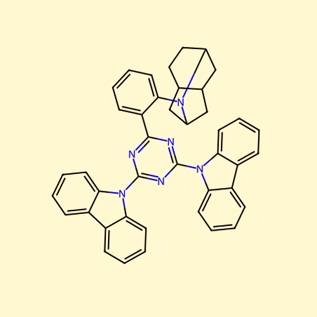 c1ccc(N2C3CCC4CC2CC4C3)c(-c2nc(-n3c4ccccc4c4ccccc43)nc(-n3c4ccccc4c4ccccc43)n2)c1